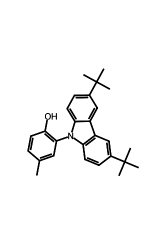 Cc1ccc(O)c(-n2c3ccc(C(C)(C)C)cc3c3cc(C(C)(C)C)ccc32)c1